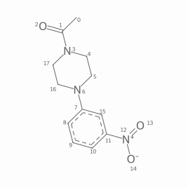 CC(=O)N1CCN(c2cccc([N+](=O)[O-])c2)CC1